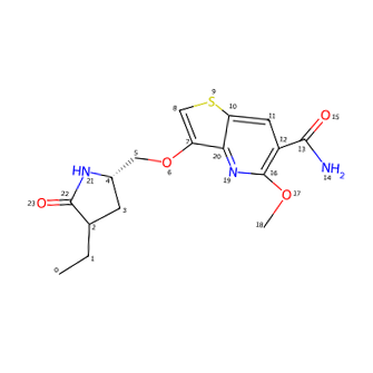 CCC1C[C@@H](COc2csc3cc(C(N)=O)c(OC)nc23)NC1=O